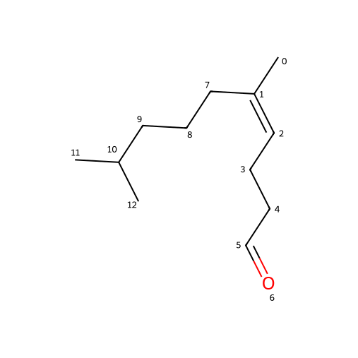 CC(=CCCC=O)CCCC(C)C